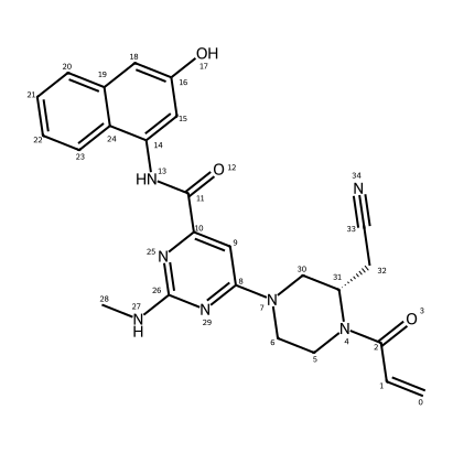 C=CC(=O)N1CCN(c2cc(C(=O)Nc3cc(O)cc4ccccc34)nc(NC)n2)C[C@@H]1CC#N